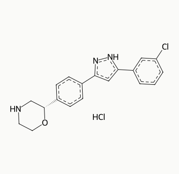 Cl.Clc1cccc(-c2cc(-c3ccc([C@H]4CNCCO4)cc3)n[nH]2)c1